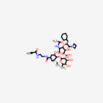 C#CC(=O)NCCNC(=O)C1CC(O[C@@H]2O[C@@H](CO)C(O)C(O[C@@H](CC3CCCCC3)C(=O)N3CCC3)C2NC(C)=O)C(OC2OC(C)C(O)C(O)C2O)[C@H](CC)C1